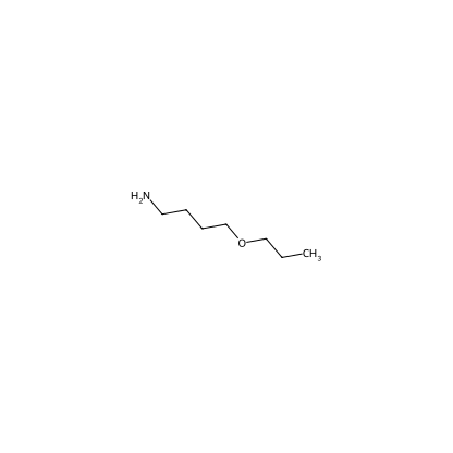 CCCOCCCCN